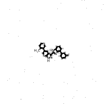 Cc1ccncc1-c1cnc2[nH]nc(-c3nc4c(-c5cccc(F)c5)cccc4[nH]3)c2c1